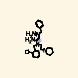 N/C(=C\N(N)Cc1ccccc1)N(CCN1CCCCC1)Cc1ccccc1Cl